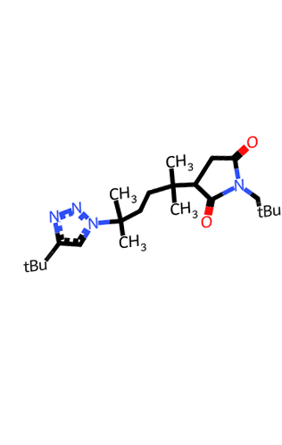 CC(C)(C)CN1C(=O)CC(C(C)(C)CCC(C)(C)n2cc(C(C)(C)C)nn2)C1=O